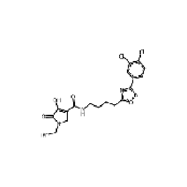 CC(C)CN1CC(C(=O)NCCCCc2nc(-c3ccc(Cl)c(Cl)c3)no2)=C(O)C1=O